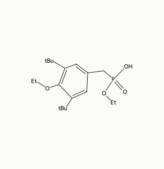 CCOc1c(C(C)(C)C)cc(CP(=O)(O)OCC)cc1C(C)(C)C